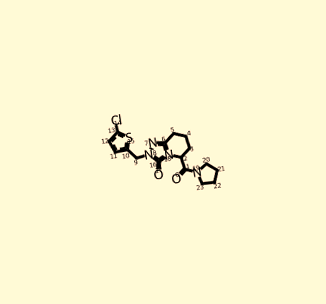 O=C(C1CCCc2nn(Cc3ccc(Cl)s3)c(=O)n21)N1CCCC1